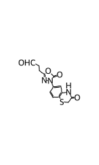 O=CCCc1nn(-c2ccc3c(c2)NC(=O)CS3)c(=O)o1